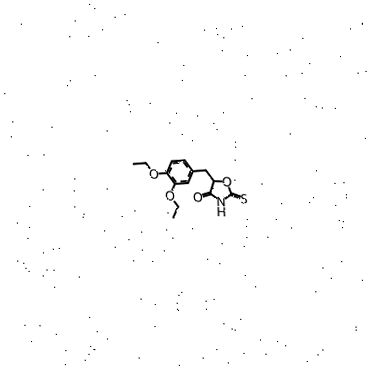 CCOc1ccc(CC2OC(=S)NC2=O)cc1OCC